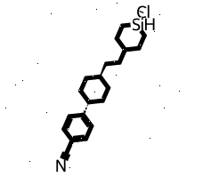 N#Cc1ccc([C@H]2CC[C@H](CCC3CC[SiH](Cl)CC3)CC2)cc1